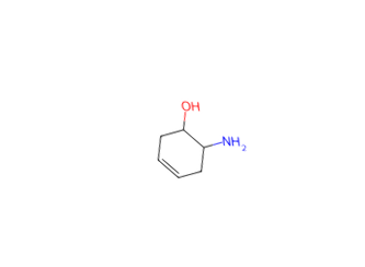 NC1CC=CCC1O